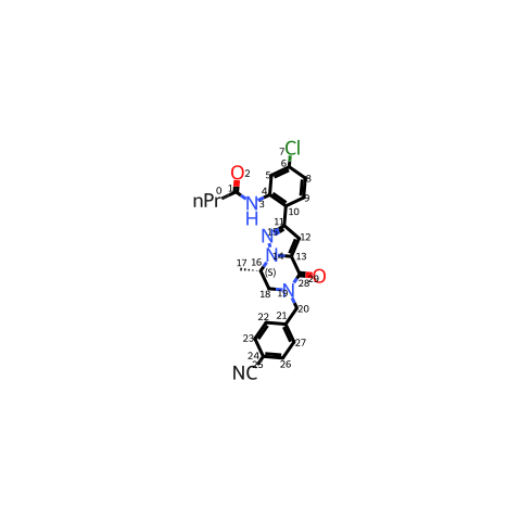 CCCC(=O)Nc1cc(Cl)ccc1-c1cc2n(n1)[C@@H](C)CN(Cc1ccc(C#N)cc1)C2=O